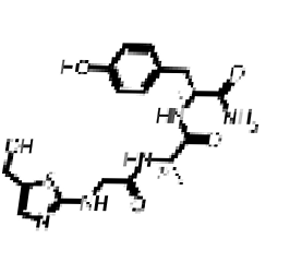 C[C@H](NC(=O)CNc1ncc(CO)s1)C(=O)N[C@@H](Cc1ccc(O)cc1)C(N)=O